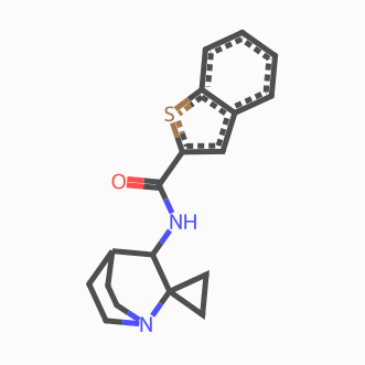 O=C(NC1C2CCN(CC2)C12CC2)c1cc2ccccc2s1